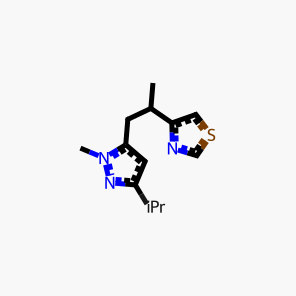 CC(C)c1cc(CC(C)c2cscn2)n(C)n1